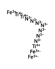 [Fe+3].[Fe+3].[Fe+3].[N-3].[N-3].[N-3].[N-3].[N-3].[N-3].[N-3].[Ti+4].[Ti+4].[Ti+4]